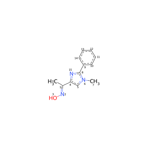 CC(=NO)c1cn(C)c(-c2ccccc2)n1